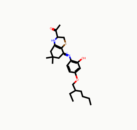 CCCCC(CC)COc1ccc(/N=C2\CC(C)(C)CC3=C2SCC(C(C)=O)N3)c(O)c1